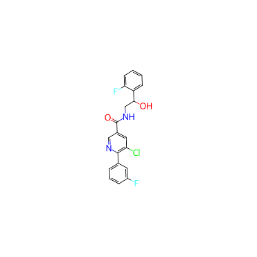 O=C(NCC(O)c1ccccc1F)c1cnc(-c2cccc(F)c2)c(Cl)c1